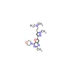 Cc1nc(N2CCOCC2)c2oc(-c3cc(CCN(C)C)n(C)n3)cc2n1